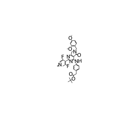 C=N/C=C(F)\C(=C(/C)F)c1nc2c(c(Nc3ccc(CC(=O)OC(C)(C)C)cc3)n1)C(=O)N(Cc1ccc(OC)cc1OC)C2